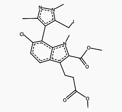 COC(=O)CCc1c(C(=O)OC)n(C)c2c(-c3c(C)nn(C)c3CI)c(Cl)ccc12